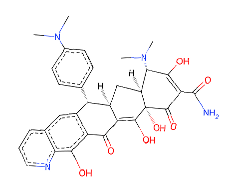 CN(C)c1ccc([C@H]2c3cc4cccnc4c(O)c3C(=O)C3=C(O)[C@]4(O)C(=O)C(C(N)=O)=C(O)[C@@H](N(C)C)[C@@H]4C[C@@H]32)cc1